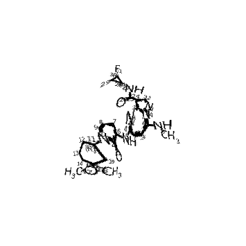 CNc1cc(Nc2cccn([C@@H]3CCC[C@](C)(OC)C3)c2=O)nc2c(C(=O)N[C@@H]3C[C@@H]3F)cnn12